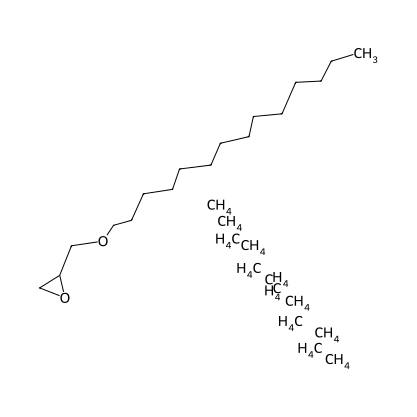 C.C.C.C.C.C.C.C.C.C.C.C.CCCCCCCCCCCCCCOCC1CO1